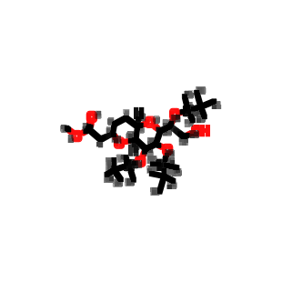 COC(=O)C[C@H]1CC[C@@H]2O[C@@H]([C@H](CO)O[Si](C)(C)C(C)(C)C)C(O[Si](C)(C)C(C)(C)C)C(O[Si](C)(C)C(C)(C)C)[C@H]2O1